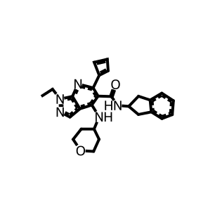 CCn1ncc2c(NC3CCOCC3)c(C(=O)NC3Cc4ccccc4C3)c(C3=CC=C3)nc21